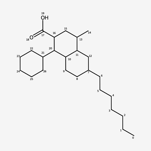 CCCCCCCC1CCC2C(C1)C(C)CC(C(=O)O)C2C1CCCCC1